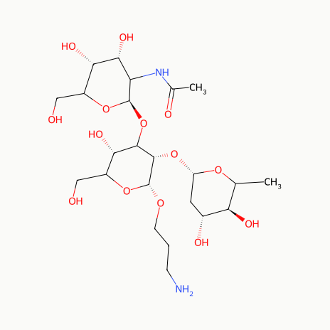 CC(=O)NC1[C@@H](OC2[C@@H](O)C(CO)O[C@@H](OCCCN)[C@H]2O[C@H]2C[C@@H](O)[C@H](O)C(C)O2)OC(CO)[C@H](O)[C@@H]1O